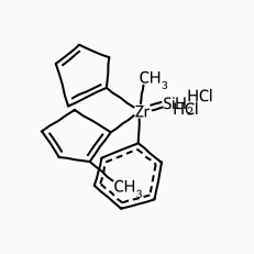 CC1=[C]([Zr]([CH3])(=[SiH2])([C]2=CC=CC2)[c]2ccccc2)CC=C1.Cl.Cl